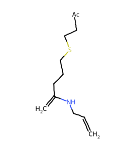 C=CCNC(=C)CCCSCCC(C)=O